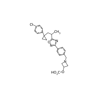 CC(CC1(c2ccc(Cl)cc2)CC1)c1nc(-c2ccc(CN3CC(OC(=O)O)C3)cc2)no1